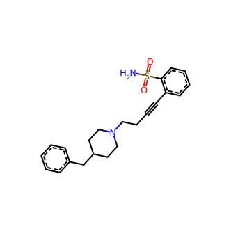 NS(=O)(=O)c1ccccc1C#CCCN1CCC(Cc2ccccc2)CC1